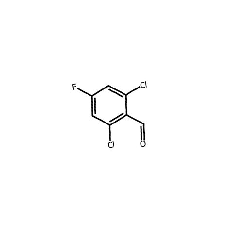 O=Cc1c(Cl)cc(F)cc1Cl